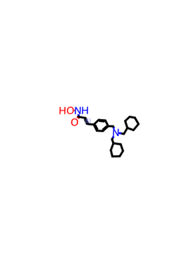 O=C(/C=C/c1ccc(CN(CC2CCCCC2)CC2CCCCC2)cc1)NO